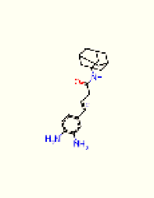 Nc1ccc(/C=C/CC(=O)NC23CC4CC(CC(C4)C2)C3)cc1N